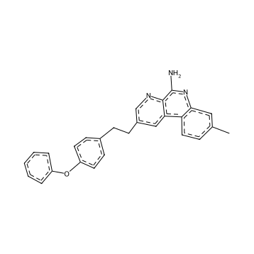 Cc1ccc2c(c1)nc(N)c1ncc(CCc3ccc(Oc4ccccc4)cc3)cc12